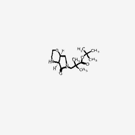 CC(C)(C)OC(=O)C(C)(C)CN1C[C@@H]2OCCN[C@@H]2C1=O